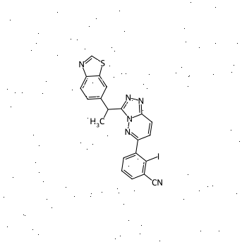 CC(c1ccc2ncsc2c1)c1nnc2ccc(-c3cccc(C#N)c3I)nn12